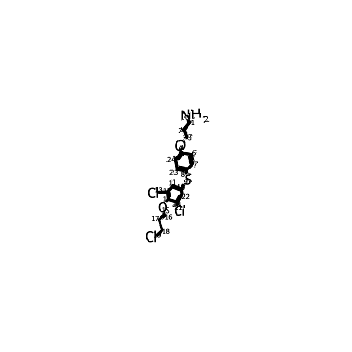 NCCCOc1ccc(Sc2cc(Cl)c(OCCCCl)c(Cl)c2)cc1